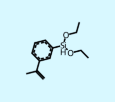 C=C(C)c1cccc([SiH](OCC)OCC)c1